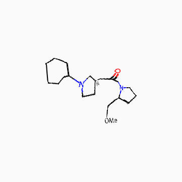 COCC1CCCN1C(=O)[C@H]1CCN(C2CCCCC2)C1